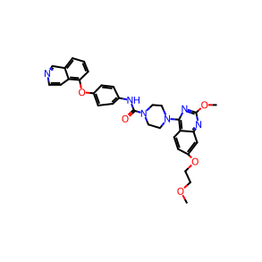 COCCOc1ccc2c(N3CCN(C(=O)Nc4ccc(Oc5cccc6cnccc56)cc4)CC3)nc(OC)nc2c1